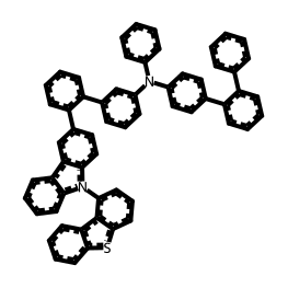 c1ccc(-c2ccccc2-c2ccc(N(c3ccccc3)c3cccc(-c4ccccc4-c4ccc5c(c4)c4ccccc4n5-c4cccc5sc6ccccc6c45)c3)cc2)cc1